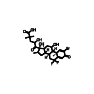 CC1C[C@H]2[C@@H]3CC(F)(F)C4=CC(=O)C(Br)=C[C@]4(C)[C@H]3C(O)C[C@]2(C)[C@@]1(O)C(=O)C(O)CC(C)(C)C(=O)O